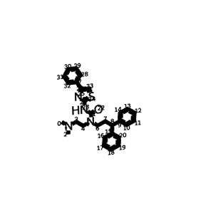 CN(C)CCN(CCC(c1ccccc1)c1ccccc1)C(=O)Nc1nc(-c2ccccc2)cs1